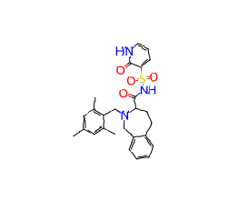 Cc1cc(C)c(CN2Cc3ccccc3CCC2C(=O)NS(=O)(=O)c2ccc[nH]c2=O)c(C)c1